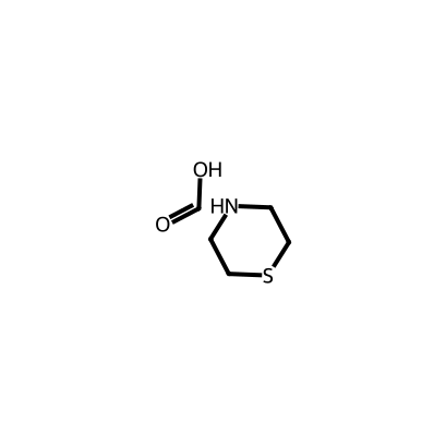 C1CSCCN1.O=CO